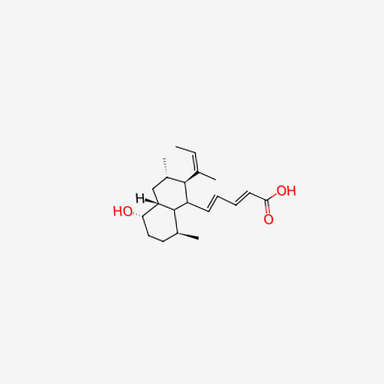 C/C=C(/C)[C@H]1C(/C=C/C=C/C(=O)O)C2[C@@H](C[C@@H]1C)[C@@H](O)CC[C@@H]2C